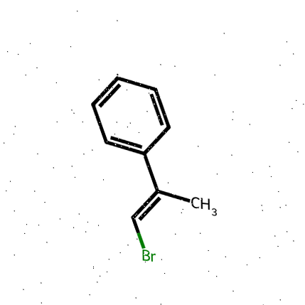 C/C(=C\Br)c1cc[c]cc1